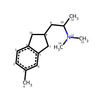 Cc1ccc2c(c1)CC(CC(C)N(C)C)C2